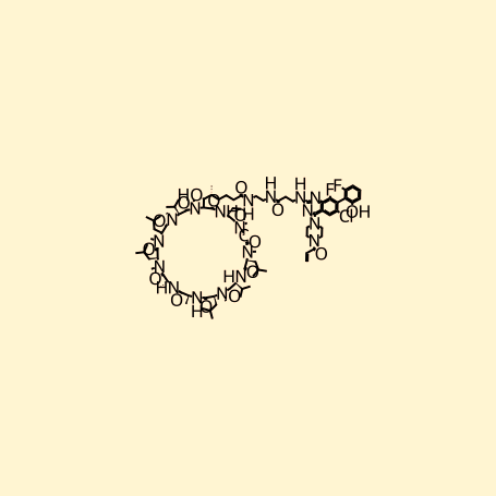 C=CC(=O)N1CCN(c2nc(NCCC(=O)NCCNC(=O)CCC[C@@H](C)[C@@H](O)C3C(=O)N[C@@H](CC)C(=O)N(C)CC(=O)N(C)[C@@H](CC(C)C)C(=O)N[C@@H](C(C)C)C(=O)N(C)[C@@H](CC(C)C)C(=O)N[C@@H](C)C(=O)N[C@H](C)C(=O)N(C)[C@@H](CC(C)C)C(=O)N(C)C(CC(C)C)C(=O)N(C)[C@@H](C(C)C)C(=O)N3C)nc3c(F)c(-c4c(O)cccc4F)c(Cl)cc23)CC1